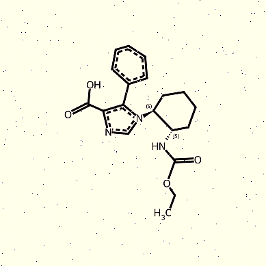 CCOC(=O)N[C@H]1CCCC[C@@H]1n1cnc(C(=O)O)c1-c1ccccc1